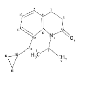 CC(C)N1C(=O)CCc2cccc(CC3CC3)c21